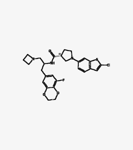 O=C(NC(Cc1cc(F)c2c(c1)OCCO2)CN1CCC1)[C@@H]1CCN(c2ccc3cc(Cl)sc3c2)C1